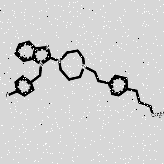 CCOC(=O)CCCc1ccc(CCN2CCCN(c3nc4ccccc4n3Cc3ccc(F)cc3)CCC2)cc1